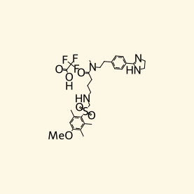 COc1cc(C)c(S(=O)(=O)CNCCCC(=O)N(C)CCc2ccc(C3=NCCN3)cc2)c(C)c1C.O=C(O)C(F)(F)F